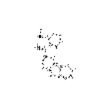 CNc1ccccc1C(=N)c1ccc2oc3ccccc3c2c1